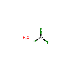 O.[F][Mn]([F])[F]